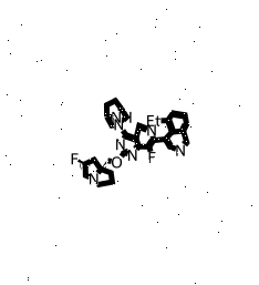 CCc1cccc2cncc(-c3ncc4c(N5CC6CCC(C5)N6)nc(OC[C@]56CCCN5C[C@@H](F)C6)nc4c3F)c12